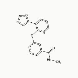 CNC(=O)c1cccc(Oc2ncccc2-c2cnco2)c1